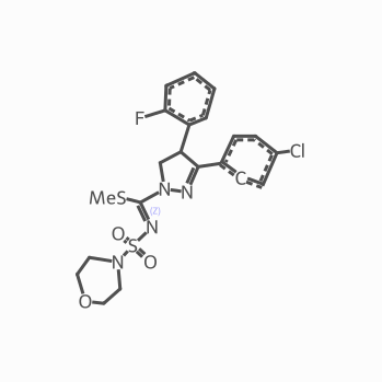 CS/C(=N\S(=O)(=O)N1CCOCC1)N1CC(c2ccccc2F)C(c2ccc(Cl)cc2)=N1